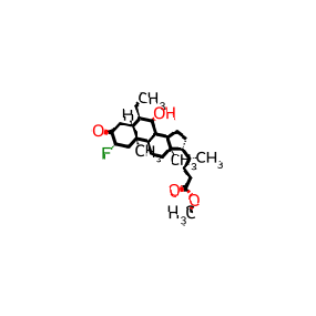 CC[C@H]1C(O)C2C3CC[C@H]([C@H](C)CCC(=O)OC)[C@@]3(C)CCC2[C@@]2(C)C[C@H](F)C(=O)C[C@@H]12